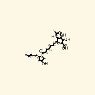 C/C=C/OC[C@@H]1C[C@@H](O)CN1C(=O)CCCCCOC1OC(CO)C(O)C(O)C1NC(C)=O